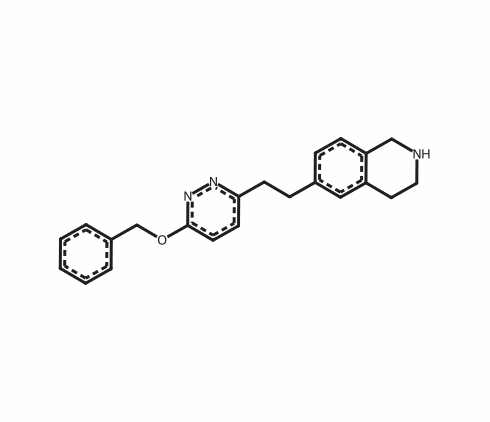 c1ccc(COc2ccc(CCc3ccc4c(c3)CCNC4)nn2)cc1